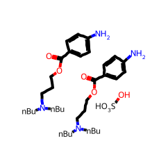 CCCCN(CCCC)CCCOC(=O)c1ccc(N)cc1.CCCCN(CCCC)CCCOC(=O)c1ccc(N)cc1.O=S(=O)(O)O